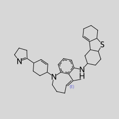 C/C1=C\CCCN(C2C=CC(C3=NCCC3)CC2)c2cccc(NC3CCC4SC5CCCC=C5C4C3)c21